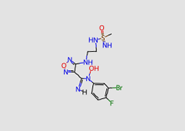 [H]/N=C(/c1nonc1NCCNS(C)(=N)=O)N(O)c1ccc(F)c(Br)c1